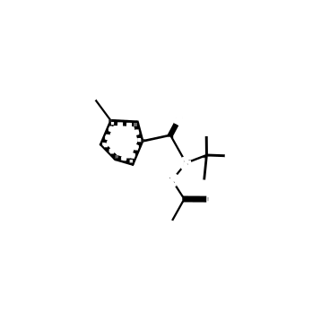 CC(=O)NN(C(=O)c1cccc(C)c1)C(C)(C)C